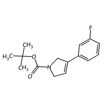 CC(C)(C)OC(=O)N1CC=C(c2cccc(F)c2)C1